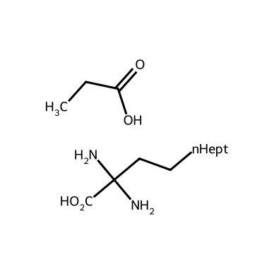 CCC(=O)O.CCCCCCCCCC(N)(N)C(=O)O